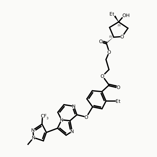 CCc1cc(Oc2nccn3c(-c4cn(C)nc4C(F)(F)F)cnc23)ccc1C(=O)OCCOC(=O)[C@@H]1C[C@@](O)(CC)CO1